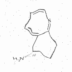 N[C@H]1CCc2ncccc21